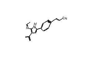 C=C(C)c1cc(-c2ccc(CCO)cc2)[nH]c1/N=C\C